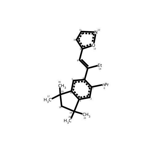 CCCc1cc2c(cc1/C(=C/c1ccno1)CC)C(C)(C)CC2(C)C